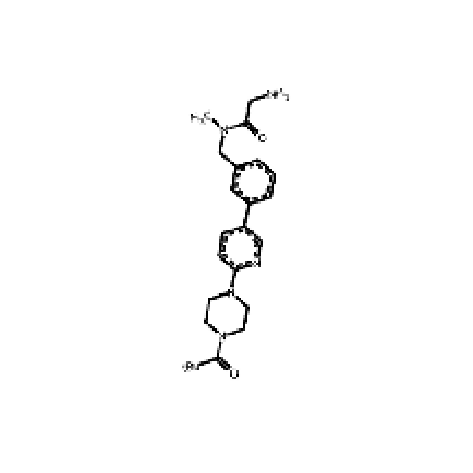 CN(Cc1cccc(-c2ccc(N3CCN(C(=O)C(C)(C)C)CC3)nc2)c1)C(=O)CN